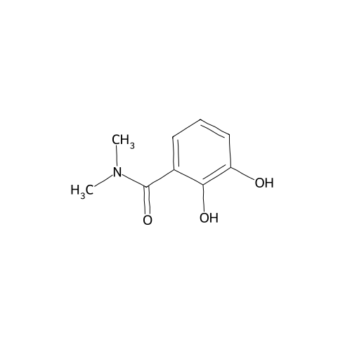 CN(C)C(=O)c1cccc(O)c1O